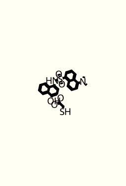 CN(C)c1cccc2c(S(=O)(=O)Nc3cc(OC(=O)CS)c(O)c4ccccc34)cccc12